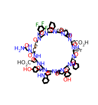 CCCC[C@H]1C(=O)N2CCC[C@@H]2C(=O)N[C@@H](CC(=O)O)C(=O)N[C@@H](C(C)C)C(=O)N(C)[C@@H](Cc2ccccc2)C(=O)N[C@@H](Cc2ccc(O)cc2)C(=O)N2CCC[C@@H]2C(=O)N[C@@H](Cc2c[nH]c3ccccc23)C(=O)N[C@@H](Cc2ccc(O)cc2)C(=O)N[C@@H](CCC(=O)O)C(=O)N[C@H](C(=O)NCC(N)=O)CSCC(=O)N[C@@H](Cc2cc(F)c(F)c(F)c2)C(=O)N(C)[C@@H](Cc2ccccc2)C(=O)N1C